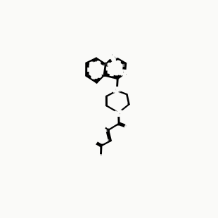 CC(=O)C=C(F)C(=O)N1CCN(c2ncnc3ccccc23)CC1